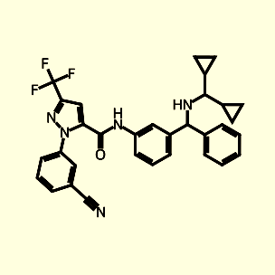 N#Cc1cccc(-n2nc(C(F)(F)F)cc2C(=O)Nc2cccc(C(NC(C3CC3)C3CC3)c3ccccc3)c2)c1